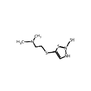 CN(C)CCSC1=CNN(S)S1